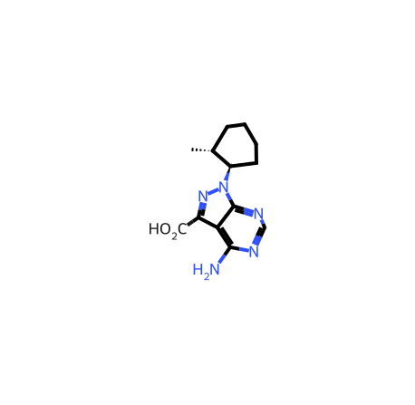 C[C@@H]1CCCC[C@H]1n1nc(C(=O)O)c2c(N)ncnc21